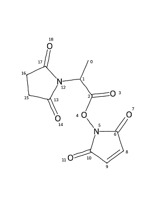 CC(C(=O)ON1C(=O)C=CC1=O)N1C(=O)CCC1=O